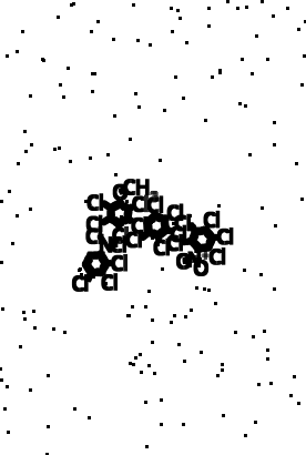 COc1c(Cl)c(Cl)c(Cl)c(Cl)c1Cl.Clc1cc(Cl)c(Cl)c(Cl)c1Cl.Clc1ccc(N(Cl)Cl)c(Cl)c1Cl.O=[N+]([O-])c1c(Cl)c(Cl)c(Cl)c(Cl)c1Cl